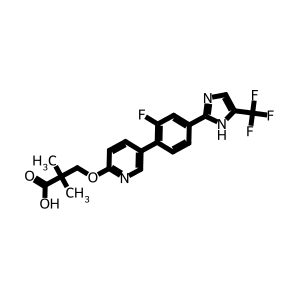 CC(C)(COc1ccc(-c2ccc(-c3ncc(C(F)(F)F)[nH]3)cc2F)cn1)C(=O)O